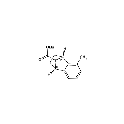 Cc1cccc2c1[C@H]1CC[C@@H]2N1C(=O)OCC(C)C